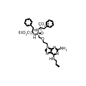 C=CCNc1nc(N)nc2c1ncn2CCOCP(=O)(N[C@@H](Cc1ccccc1)C(=O)OCC)N[C@@H](Cc1ccccc1)C(=O)OCC